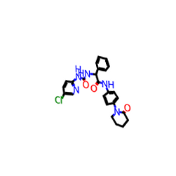 O=C(Nc1ccc(Cl)cn1)NC(C(=O)Nc1ccc(N2CCCCC2=O)cc1)c1ccccc1